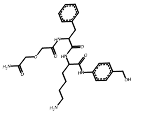 NCCCCC(NC(=O)C(Cc1ccccc1)NC(=O)COCC(N)=O)C(=O)Nc1ccc(CO)cc1